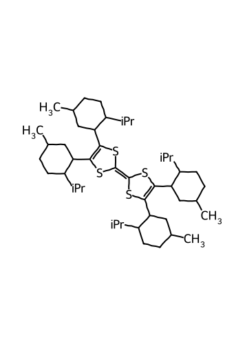 CC1CCC(C(C)C)C(C2=C(C3CC(C)CCC3C(C)C)SC(=C3SC(C4CC(C)CCC4C(C)C)=C(C4CC(C)CCC4C(C)C)S3)S2)C1